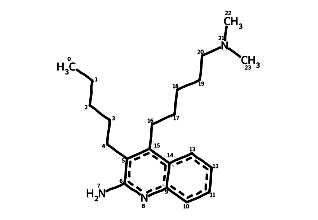 CCCCCc1c(N)nc2ccccc2c1CCCCCN(C)C